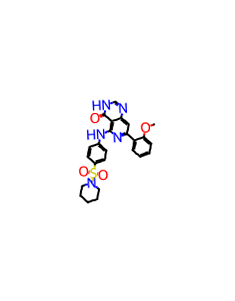 COc1ccccc1-c1cc2nc[nH]c(=O)c2c(Nc2ccc(S(=O)(=O)N3CCCCC3)cc2)n1